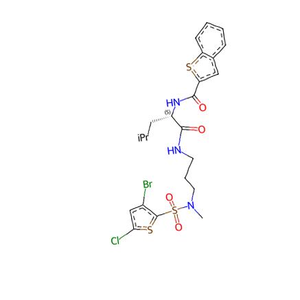 CC(C)C[C@H](NC(=O)c1cc2ccccc2s1)C(=O)NCCCN(C)S(=O)(=O)c1sc(Cl)cc1Br